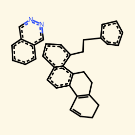 C1=CC2=C(CC1)CCc1c2ccc2cccc(CCc3ccccc3)c12.c1ccc2cnncc2c1